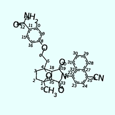 CC12CCC(CCOc3ccc(C(N)=O)cc3)(O1)C1C(=O)N(c3ccc(C#N)c4ccccc34)C(=O)C12